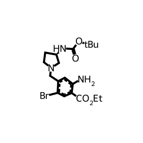 CCOC(=O)c1cc(Br)c(CN2CC[C@@H](NC(=O)OC(C)(C)C)C2)cc1N